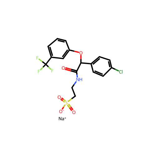 O=C(NCCS(=O)(=O)[O-])C(Oc1cccc(C(F)(F)F)c1)c1ccc(Cl)cc1.[Na+]